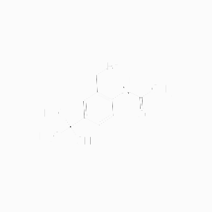 CC(=O)Nc1ccc(C(C)(C)C)cc1CBr